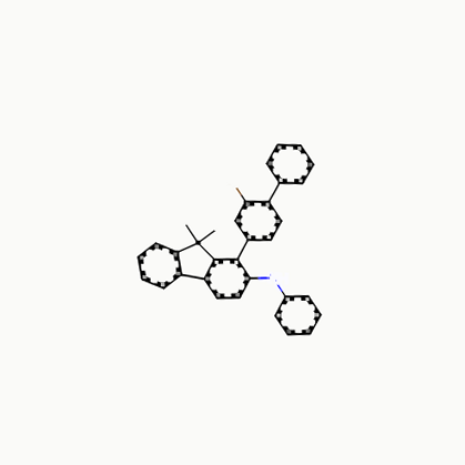 CC1(C)c2ccccc2-c2ccc(Nc3ccccc3)c(-c3ccc(-c4ccccc4)c(Br)c3)c21